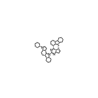 c1ccc(-n2ccc3c2ccc2c4ccccc4n(-c4nc(-c5cccc6c5sc5ccccc56)c5sccc5n4)c23)cc1